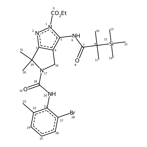 CCOC(=O)n1nc2c(c1NC(=O)C(C)(C)[Si](C)(C)C)CN(C(=O)Nc1c(C)cccc1Br)C2(C)C